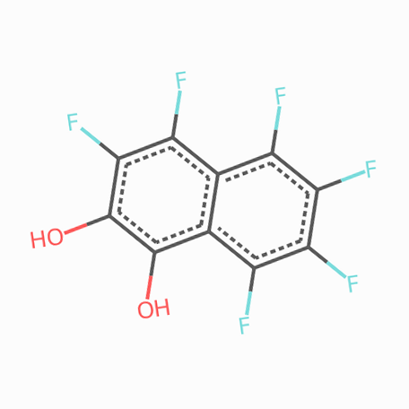 Oc1c(F)c(F)c2c(F)c(F)c(F)c(F)c2c1O